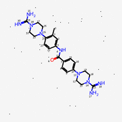 Cc1cc(NC(=O)c2ccc(N3CCN(C(=N)N)CC3)cc2)ccc1N1CCN(C(=N)N)CC1